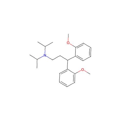 COc1ccccc1C(CCN(C(C)C)C(C)C)c1ccccc1OC